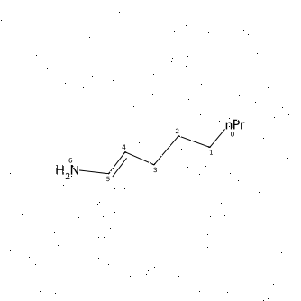 CCCCCCC=CN